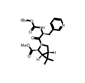 COC(=O)[C@@H]1[C@@H]2[C@H](CN1C(=O)[C@H](Cc1cccnc1)NC(=O)OC(C)(C)C)C2(C)C